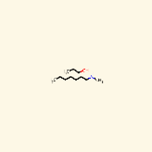 CCCCCCCNC.CCCO